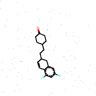 O=C1CCC(CCC2C=Cc3c(F)cc(F)cc3C2)CC1